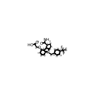 NC(=O)C1CCc2c1c1c(OCC(=O)O)cccc1n2Cc1ccc(C(F)(F)F)cc1